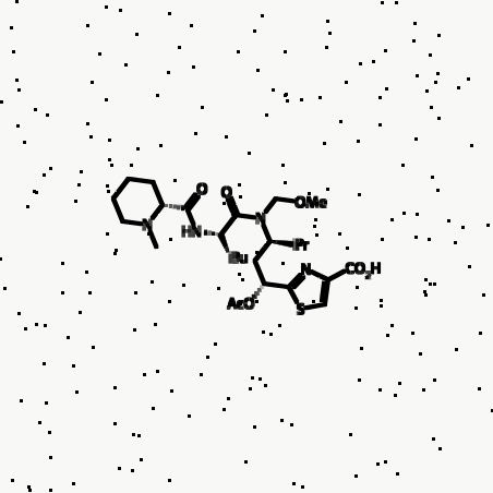 CC[C@H](C)[C@H](NC(=O)[C@H]1CCCCN1C)C(=O)N(COC)[C@H](C[C@@H](OC(C)=O)c1nc(C(=O)O)cs1)C(C)C